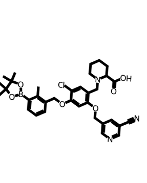 Cc1c(COc2cc(OCc3cncc(C#N)c3)c(CN3CCCCC3C(=O)O)cc2Cl)cccc1B1OC(C)(C)C(C)(C)O1